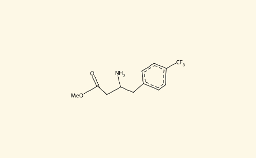 COC(=O)CC(N)Cc1ccc(C(F)(F)F)cc1